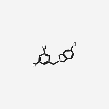 Clc1cc(Cl)cc(CN2Cc3ccc(Cl)cc3C2)c1